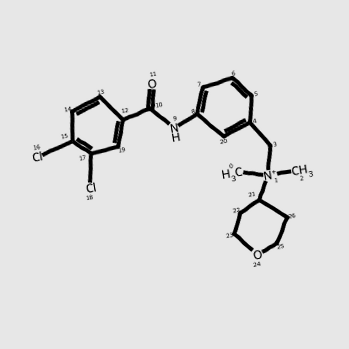 C[N+](C)(Cc1cccc(NC(=O)c2ccc(Cl)c(Cl)c2)c1)C1CCOCC1